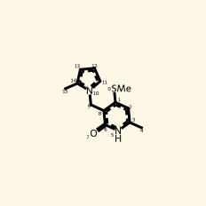 CSc1cc(C)[nH]c(=O)c1Cn1cccc1C